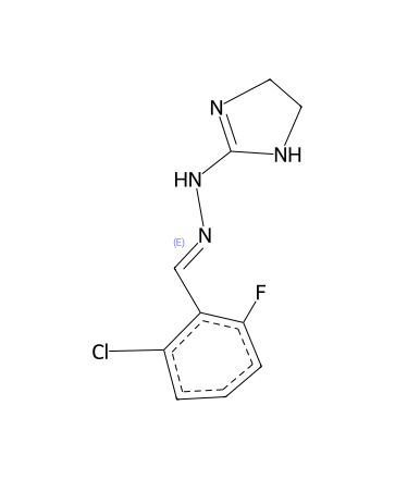 Fc1cccc(Cl)c1/C=N/NC1=NCCN1